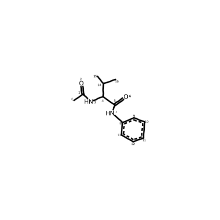 CC(=O)NC(C(=O)Nc1ccccc1)C(C)C